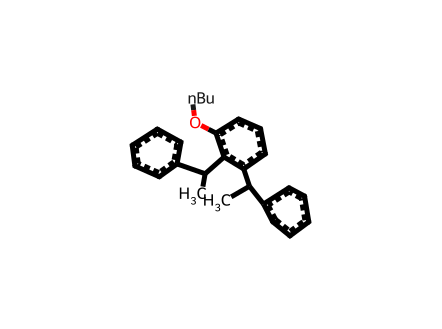 CCCCOc1cccc(C(C)c2ccccc2)c1C(C)c1ccccc1